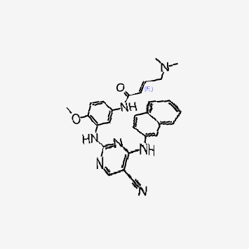 COc1ccc(NC(=O)/C=C/CN(C)C)cc1Nc1ncc(C#N)c(Nc2ccc3ccccc3c2)n1